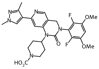 COc1cc(OC)c(F)c(N2Cc3cnc(-c4cn(C)nc4C)cc3N(C3CCN(C(=O)O)CC3)C2=O)c1F